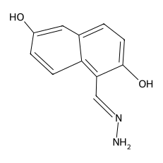 NN=Cc1c(O)ccc2cc(O)ccc12